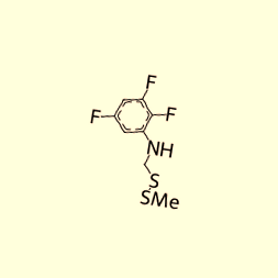 CSSCNc1cc(F)cc(F)c1F